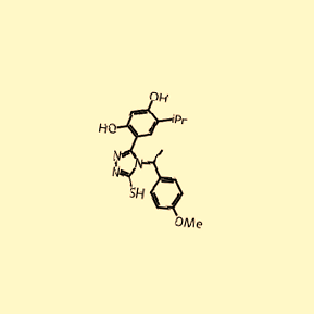 COc1ccc(C(C)n2c(S)nnc2-c2cc(C(C)C)c(O)cc2O)cc1